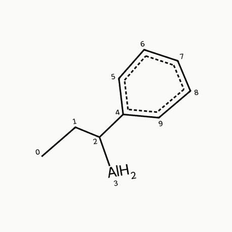 CC[CH]([AlH2])c1ccccc1